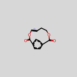 O=C1O/C=C/CCOC(=O)c2ccc1cc2